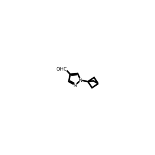 O=Cc1cnn(C23CC(C2)C3)c1